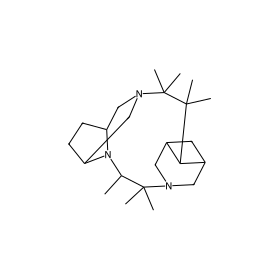 CC1N2C3CCC2CN(C3)C(C)(C)C(C)(C)C2C3CC2CN(C3)C1(C)C